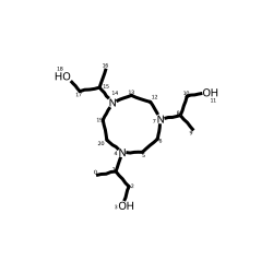 CC(CO)N1CCN(C(C)CO)CCN(C(C)CO)CC1